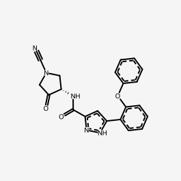 N#CN1CC(=O)[C@@H](NC(=O)c2cc(-c3ccccc3Oc3ccccc3)[nH]n2)C1